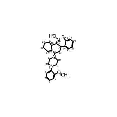 COc1ccccc1N1CCN(CCC(/C(=N/O)C2CCCCC2)c2ccccc2F)CC1